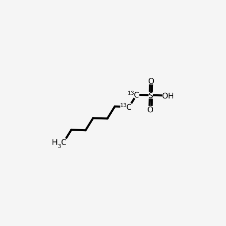 CCCCCC[13CH2][13CH2]S(=O)(=O)O